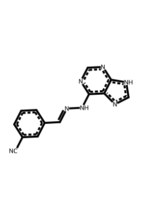 N#Cc1cccc(C=NNc2ncnc3[nH]cnc23)c1